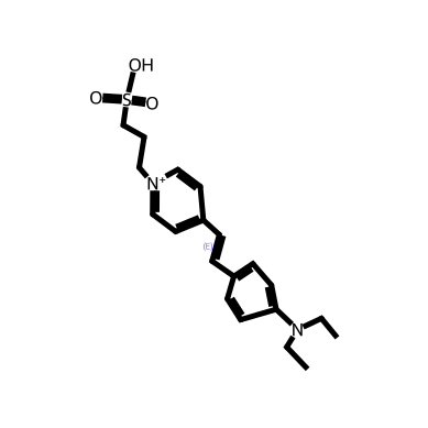 CCN(CC)c1ccc(/C=C/c2cc[n+](CCCS(=O)(=O)O)cc2)cc1